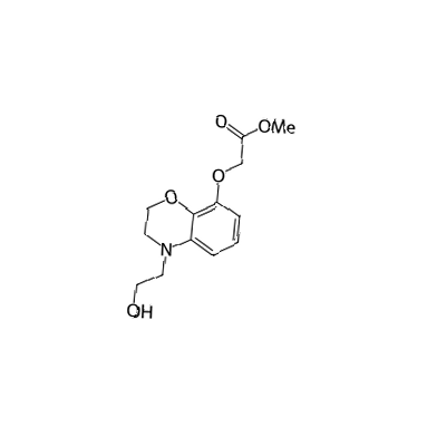 COC(=O)COc1cccc2c1OCCN2CCO